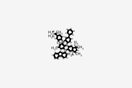 Cc1cc2c3c(c1)N(c1cccc4c1Cc1ccccc1-4)c1cc4c(cc1B3c1ccc(-c3ccccc3)cc1N2c1ccc(C(C)(C)C)cc1C)C(C)(C)CC4(C)C